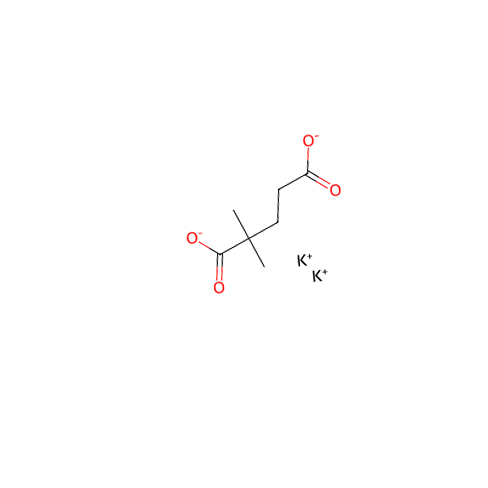 CC(C)(CCC(=O)[O-])C(=O)[O-].[K+].[K+]